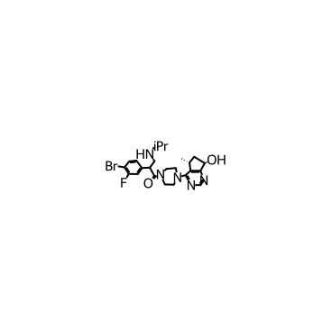 CC(C)NCC(C(=O)N1CCN(c2ncnc3c2[C@H](C)C[C@@H]3O)CC1)c1ccc(Br)c(F)c1